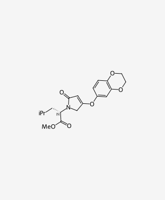 COC(=O)[C@H](CC(C)C)N1CC(Oc2ccc3c(c2)OCCO3)=CC1=O